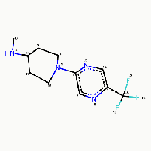 CNC1CCN(c2cnc(C(F)(F)F)cn2)CC1